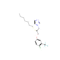 CCCCCCCSC(COc1ccc(Cl)c(C(F)(F)F)c1)Cn1ccnc1